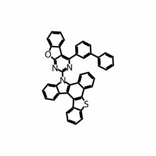 c1ccc(-c2cccc(-c3nc(-n4c5ccccc5c5c6c7ccccc7sc6c6ccccc6c54)nc4oc5ccccc5c34)c2)cc1